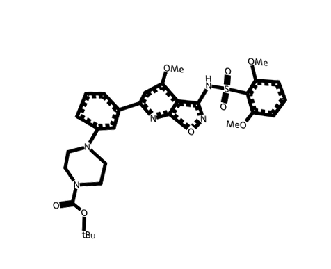 COc1cccc(OC)c1S(=O)(=O)Nc1noc2nc(-c3cccc(N4CCN(C(=O)OC(C)(C)C)CC4)c3)cc(OC)c12